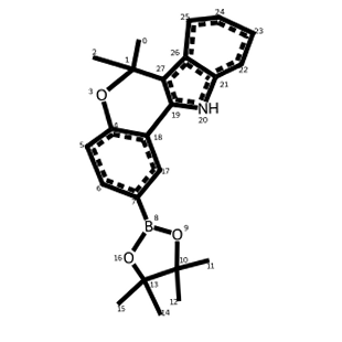 CC1(C)Oc2ccc(B3OC(C)(C)C(C)(C)O3)cc2-c2[nH]c3ccccc3c21